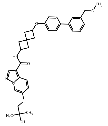 COCc1cccc(-c2ccc(OC3CC4(CC(NC(=O)c5cnn6cc(OCC(C)(C)O)ccc56)C4)C3)cc2)c1